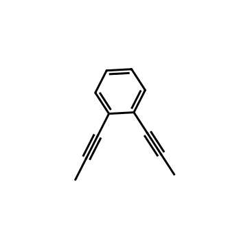 CC#Cc1ccccc1C#CC